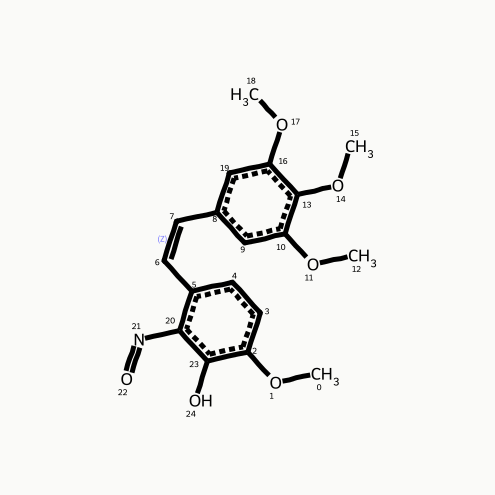 COc1ccc(/C=C\c2cc(OC)c(OC)c(OC)c2)c(N=O)c1O